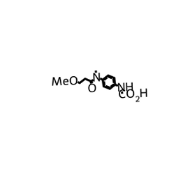 COCCC(=O)N(C)c1ccc(NC(=O)O)cc1